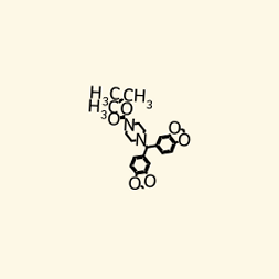 CC(C)(C)OC(=O)N1CCN(C(c2ccc3c(c2)OCO3)c2ccc3c(c2)OCO3)CC1